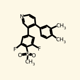 Cc1ccc(-c2ccncc2-c2cc(F)c(S(C)(=O)=O)c(F)c2)cc1C